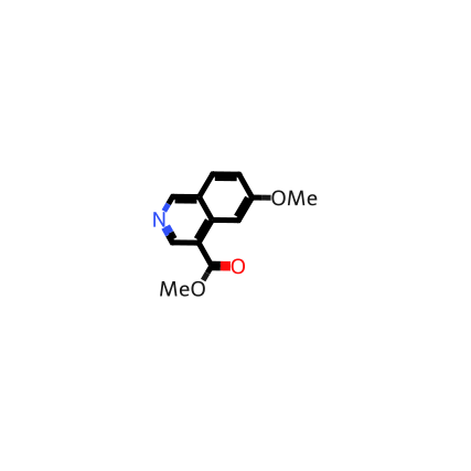 COC(=O)c1cncc2ccc(OC)cc12